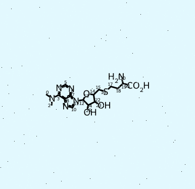 CN(C)c1ncnc2c1ncn2C1OC(CSCCC(N)C(=O)O)C(O)C1O